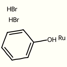 Br.Br.Oc1ccccc1.[Ru]